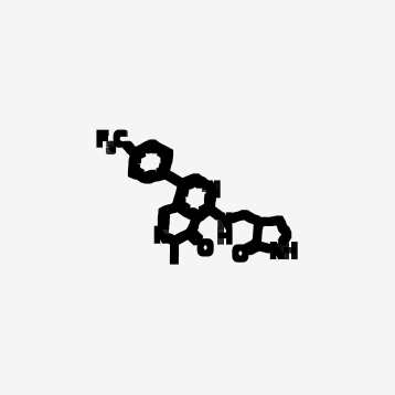 CC1N=Cc2c(-c3ccc(C(F)(F)F)cc3)cnc(NCC3CCNC3=O)c2C1=O